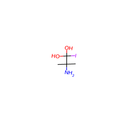 CC(C)(N)C(O)(O)I